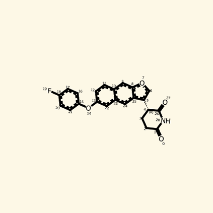 O=C1CC[C@H](c2coc3cc4ccc(Oc5ccc(F)cc5)cc4cc23)C(=O)N1